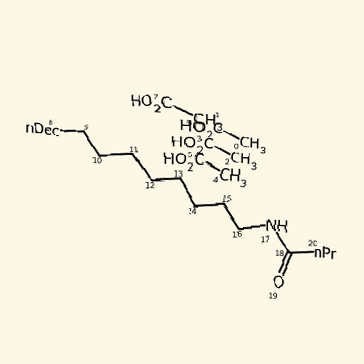 CC(=O)O.CC(=O)O.CC(=O)O.CC(=O)O.CCCCCCCCCCCCCCCCCCNC(=O)CCC